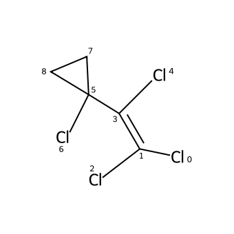 ClC(Cl)=C(Cl)C1(Cl)CC1